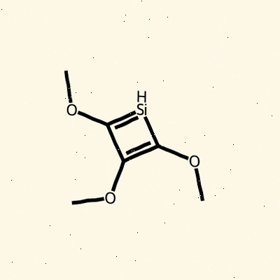 COC1=[SiH]C(OC)=C1OC